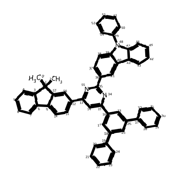 CC1(C)c2ccccc2-c2ccc(-c3cc(-c4cc(-c5ccccc5)cc(-c5ccccc5)c4)nc(-c4ccc5c(c4)c4ccccc4n5-c4ccccc4)n3)cc21